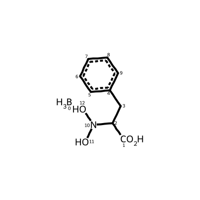 B.O=C(O)C(Cc1ccccc1)N(O)O